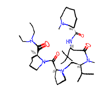 CCN(CC)C(=O)[C@@H]1CCCN1C(=O)[C@@H]1CCCN1C[C@H](C(C)C)N(C)C(=O)[C@@H](NC(=O)[C@H]1CCCCN1C)C(C)(C)C